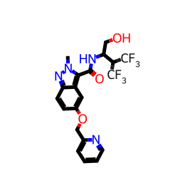 Cn1nc2ccc(OCc3ccccn3)cc2c1C(=O)NC(CO)C(C(F)(F)F)C(F)(F)F